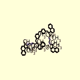 CN1/C(=C/C=C/C2=[N+](C)c3ccc4ccccc4c3C2(C)Cc2ccc(Cc3ccc(CC4(C)C(/C=C/C=C5/N(C)c6ccc7ccccc7c6C5(C)C)=[N+](C)c5ccc6ccccc6c54)cc3)cc2)C(C)(C)c2c1ccc1ccccc21